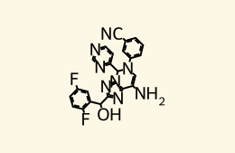 N#Cc1cccc(N2C=C(N)c3nc(C(O)c4cc(F)ccc4F)nn3C2c2ccncn2)c1